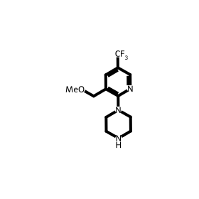 COCc1cc(C(F)(F)F)cnc1N1CCNCC1